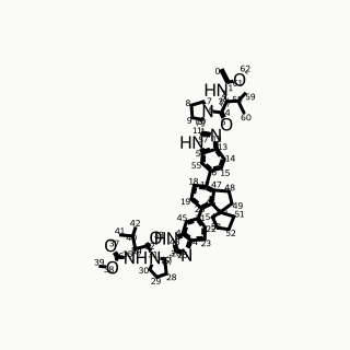 C=C(N[C@H](C(=O)N1CCC[C@H]1c1nc2ccc(-c3ccc(-c4ccc5nc([C@@H]6CCCN6C(=O)[C@@H](NC(=O)OC)C(C)C)[nH]c5c4)c4c3CCC43CCCC3)cc2[nH]1)C(C)C)OC